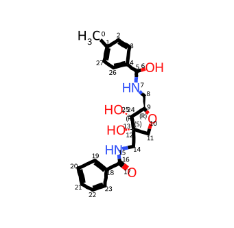 Cc1ccc(C(O)NC[C@H]2OC[C@@](O)(CNC(=O)c3ccccc3)[C@@H]2O)cc1